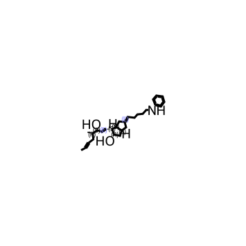 CC#CC[C@@H](C)[C@H](O)/C=C/[C@@H]1[C@H]2C/C(=C/CCCCNc3ccccc3)C[C@H]2C[C@H]1O